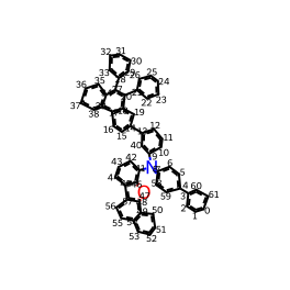 c1ccc(-c2ccc(N(c3cccc(-c4ccc5c(c4)c(-c4ccccc4)c(-c4ccccc4)c4ccccc45)c3)c3cccc4c3oc3c5ccccc5ccc43)cc2)cc1